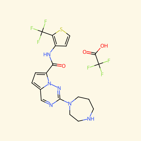 O=C(Nc1ccsc1C(F)(F)F)c1ccc2cnc(N3CCCNCC3)nn12.O=C(O)C(F)(F)F